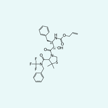 C=CCOC(=O)N[C@H](Cc1ccccc1)[C@H](O)C(=O)N1CSC(C)(C)C1C(=O)N(Cc1ccccc1)C(F)(F)F